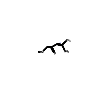 COCC(=O)/C=C(/C)N